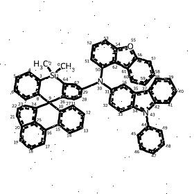 C[Si]1(C)c2ccccc2C2(c3ccccc3-c3cccc4cccc2c34)c2ccc(N(c3ccc4c(c3)c3ccccc3n4-c3ccccc3)c3cccc4oc5ccccc5c34)cc21